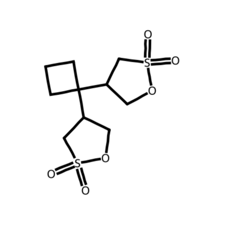 O=S1(=O)CC(C2(C3COS(=O)(=O)C3)CCC2)CO1